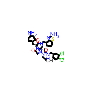 C#CCN(C(=O)NCc1ccc(Cl)c(Cl)c1)N1CC(=O)N2[C@@H](Cc3ccc(N)cc3)C(=O)N(Cc3cccc4sc(N)nc34)C[C@@H]21